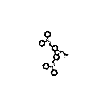 C(=N\N(c1ccccc1)c1ccccc1)/c1ccc2c(c1)c1cc(/C=N/N(c3ccccc3)c3ccccc3)ccc1n2CC1CO1